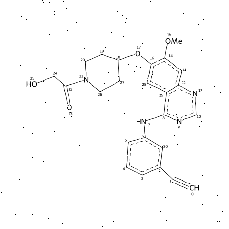 C#Cc1cccc(Nc2ncnc3cc(OC)c(OC4CCN(C(=O)CO)CC4)cc23)c1